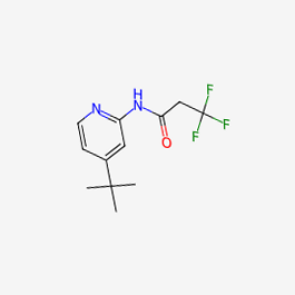 CC(C)(C)c1ccnc(NC(=O)CC(F)(F)F)c1